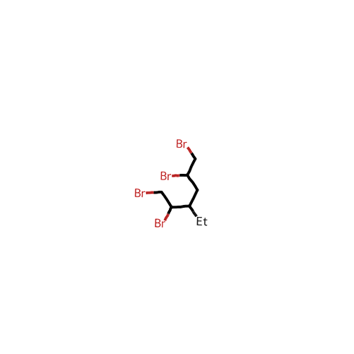 CCC(CC(Br)CBr)C(Br)CBr